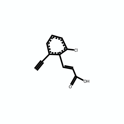 C#Cc1cccc(Cl)c1/C=C/C(=O)O